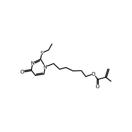 C=C(C)C(=O)OCCCCCCn1ccc(=O)nc1SCC